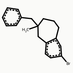 CC1(Cc2ccccc2)CCCc2cc(Br)ccc2C1